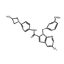 COc1cccc(Cn2c(C(=O)Nc3ccc(N4CC(O)C4)nc3)cc3cc(C(F)(F)F)cnc32)c1